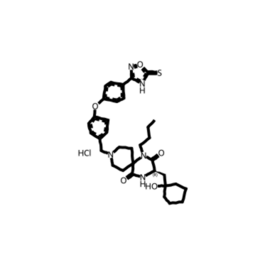 CCCCN1C(=O)[C@@H](CC2(O)CCCCC2)NC(=O)C12CCN(Cc1ccc(Oc3ccc(-c4noc(=S)[nH]4)cc3)cc1)CC2.Cl